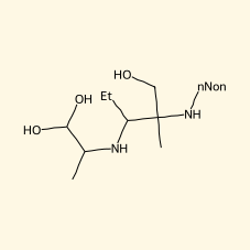 C[CH]CCCCCCCNC(C)(CO)C(CC)NC(C)C(O)O